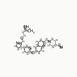 C[SiH](C)CCOCn1nccc1-c1ccc(Oc2ccc3nc(CN4CCC(C#N)CC4)ccc3c2)nc1